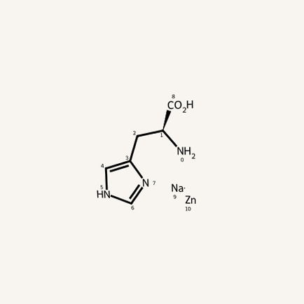 N[C@@H](Cc1c[nH]cn1)C(=O)O.[Na].[Zn]